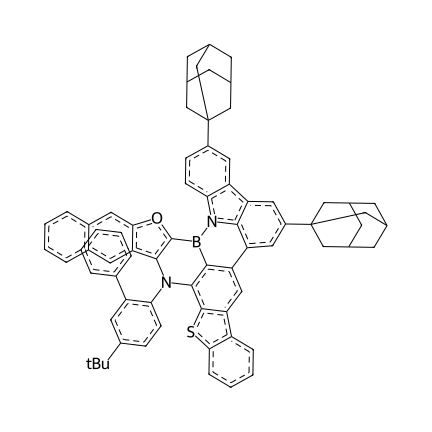 CC(C)(C)c1ccc(N2c3c(oc4cc5ccccc5cc34)B3c4c(cc5c(sc6ccccc65)c42)-c2cc(C45CC6CC(CC(C6)C4)C5)cc4c5cc(C67CC8CC(CC(C8)C6)C7)ccc5n3c24)c(-c2ccccc2)c1